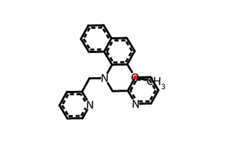 COc1ccc2ccccc2c1N(Cc1ccccn1)Cc1ccccn1